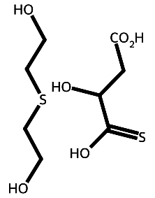 O=C(O)CC(O)C(O)=S.OCCSCCO